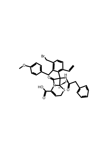 C=Cc1ccc(CBr)c(Cc2ccc(OC)cc2)c1C1(NC(=O)Cc2ccccc2)C(=O)N2C(C(=O)O)=CCS[C@H]21